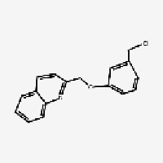 ClCc1cccc(OCc2ccc3ccccc3n2)c1